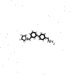 NCc1ccc(-c2cccc(CN3CCCC3)c2)cc1